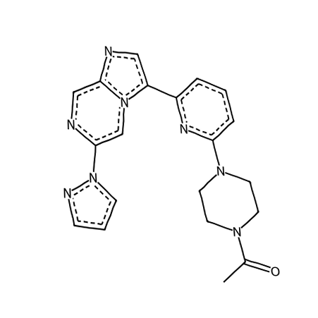 CC(=O)N1CCN(c2cccc(-c3cnc4cnc(-n5cccn5)cn34)n2)CC1